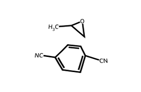 CC1CO1.N#Cc1ccc(C#N)cc1